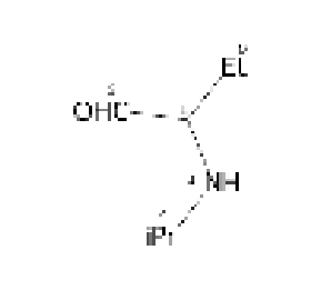 CCC(C=O)NC(C)C